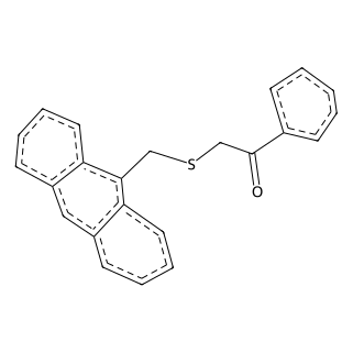 O=C(CSCc1c2ccccc2cc2ccccc12)c1ccccc1